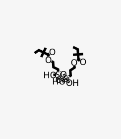 CCC(C)(C)C(=O)OCCC[Si](O)(O)O[Si](O)(O)CCCOC(=O)C(C)(C)CC